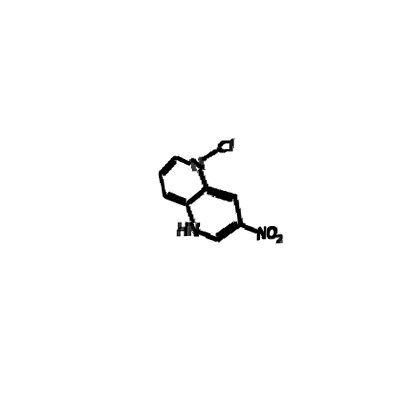 O=[N+]([O-])C1=CNC2=CC=CN(Cl)C2=C1